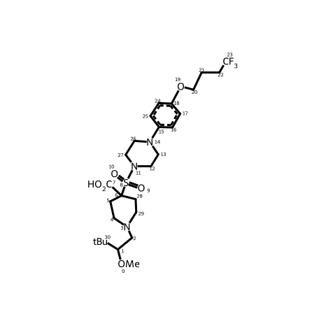 COC(CN1CCC(C(=O)O)(S(=O)(=O)N2CCN(c3ccc(OCCCC(F)(F)F)cc3)CC2)CC1)C(C)(C)C